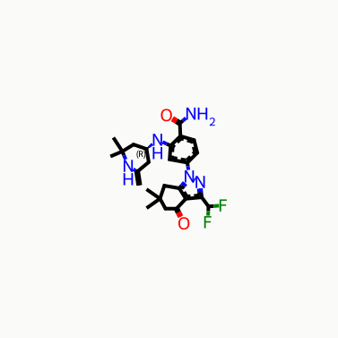 C=C1C[C@H](Nc2cc(-n3nc(C(F)F)c4c3CC(C)(C)CC4=O)ccc2C(N)=O)CC(C)(C)N1